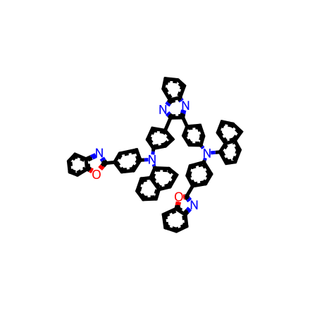 c1ccc2c(N(c3ccc(-c4nc5ccccc5o4)cc3)c3ccc(-c4nc5ccccc5nc4-c4ccc(N(c5ccc(-c6nc7ccccc7o6)cc5)c5cccc6ccccc56)cc4)cc3)cccc2c1